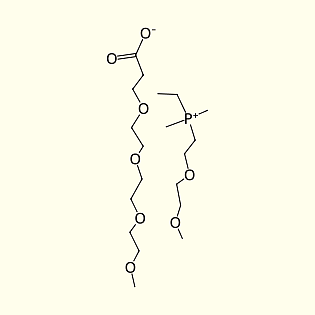 CC[P+](C)(C)CCOCCOC.COCCOCCOCCOCCC(=O)[O-]